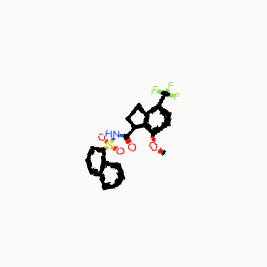 COc1ccc(C(F)(F)F)c2c1C(C(=O)NS(=O)(=O)c1cccc3ccccc13)CC2